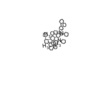 CC1(C)c2cc3c(cc2-c2c(-c4ccccc4)cccc21)C(C)(C)c1cc(N(c2ccccc2)c2ccc4c(c2)oc2ccccc24)cc(N(c2ccccc2)c2ccc4c(c2)oc2ccccc24)c1-3